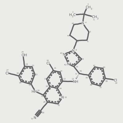 CC(C)(C)N1CCC(n2cc([C@@H](Nc3cc(Cl)cc4c(Nc5ccc(O)c(Cl)c5)c(C#N)cnc34)c3ccc(Cl)cc3)nn2)CC1